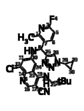 Cc1nc(F)ccc1[C@H](Nc1cc(Cl)c2ncc(C#N)c(NCC(C)(C)C)c2c1)c1cn(C2CC2)nn1